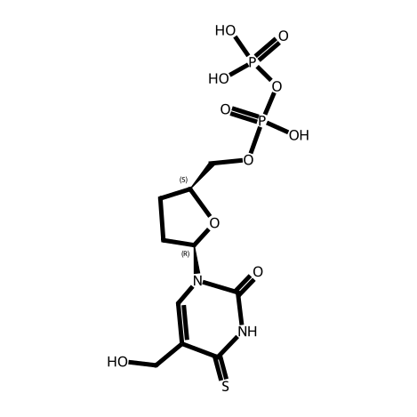 O=c1[nH]c(=S)c(CO)cn1[C@H]1CC[C@@H](COP(=O)(O)OP(=O)(O)O)O1